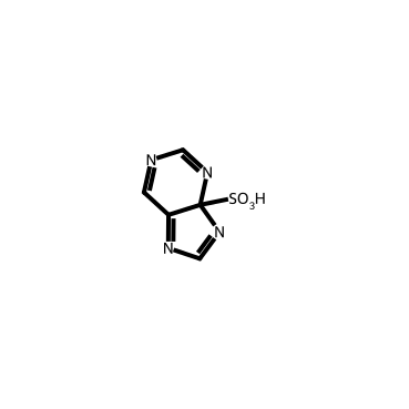 O=S(=O)(O)C12N=CN=CC1=NC=N2